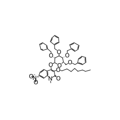 CCCCCCCCOc1c(O[C@@H]2O[C@H](COCc3ccccc3)[C@@H](OCc3ccccc3)[C@H](OCc3ccccc3)[C@H]2OCc2ccccc2)c2ccc([N+](=O)[O-])cc2n(C)c1=O